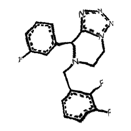 Fc1cccc(C2c3nnnn3CCN2Cc2cccc(F)c2F)c1